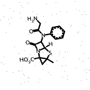 CC12CC1(C(=O)O)N1C(=O)C(N(C(=O)CN)c3ccccc3)[C@@H]1S2